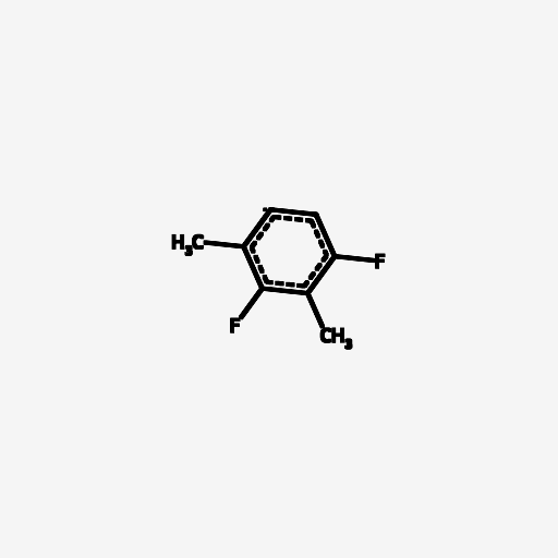 Cc1[c]cc(F)c(C)c1F